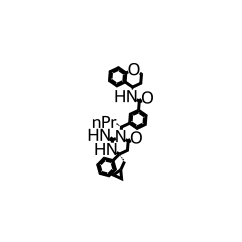 CCC[C@H](c1cccc(C(=O)N[C@H]2CCOc3ccccc32)c1)N1C(=N)N[C@](CC2CC2)(c2ccccc2)CC1=O